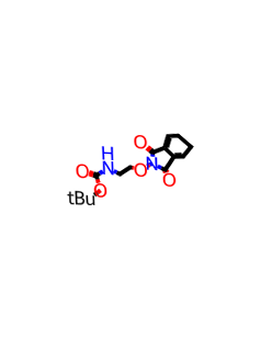 CC(C)(C)OC(=O)NCCON1C(=O)C2=CCCC=C2C1=O